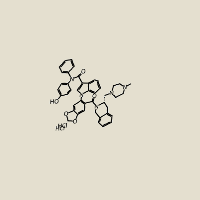 CN1CCN(C[C@@H]2Cc3ccccc3CN2C(=O)c2cc3c(cc2-n2cc(C(=O)N(c4ccccc4)c4ccc(O)cc4)c4ccccc42)OCO3)CC1.Cl.Cl